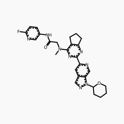 CN(CC(=O)Nc1ccc(F)nc1)c1nc(-c2cc3cnn(C4CCCCO4)c3cn2)nc2c1CCC2